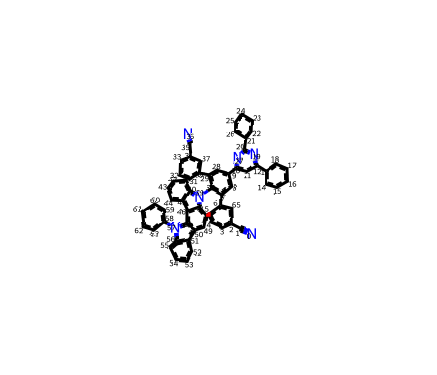 N#Cc1cccc(-c2cc(-c3cc(-c4ccccc4)nc(-c4ccccc4)n3)cc(-c3cccc(C#N)c3)c2-n2c3ccccc3c3c2ccc2c4ccccc4n(-c4ccccc4)c23)c1